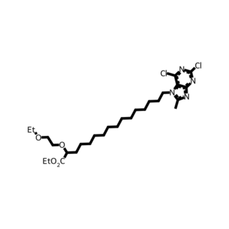 CCOCCOC(CCCCCCCCCCCCCCn1c(C)nc2nc(Cl)nc(Cl)c21)C(=O)OCC